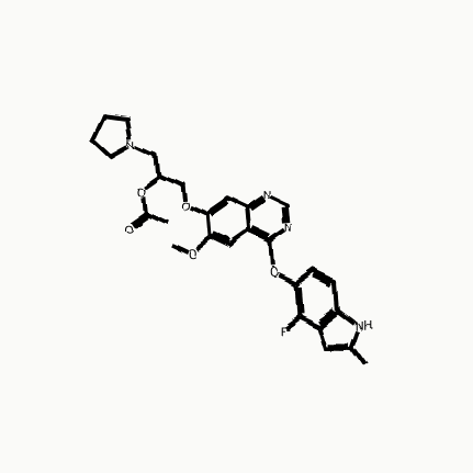 COc1cc2c(Oc3ccc4[nH]c(C)cc4c3F)ncnc2cc1OCC(CN1CCCC1)OC(C)=O